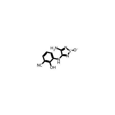 N#Cc1cccc(Nc2n[s+]([O-])nc2N)c1O